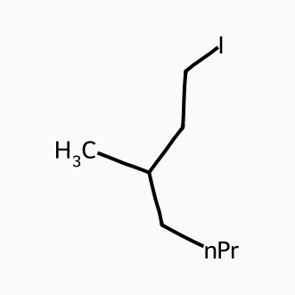 CCCCC(C)CCI